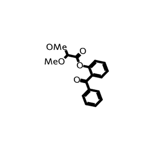 COC(OC)C(=O)Oc1ccccc1C(=O)c1ccccc1